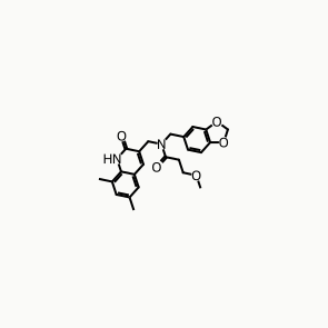 COCCC(=O)N(Cc1ccc2c(c1)OCO2)Cc1cc2cc(C)cc(C)c2[nH]c1=O